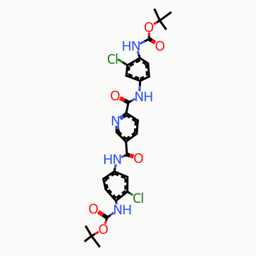 CC(C)(C)OC(=O)Nc1ccc(NC(=O)c2ccc(C(=O)Nc3ccc(NC(=O)OC(C)(C)C)c(Cl)c3)nc2)cc1Cl